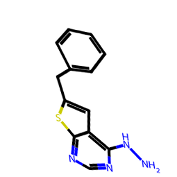 NNc1ncnc2sc(Cc3ccccc3)cc12